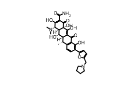 C[C@H]1c2ccc(-c3ccc(CN4CCCC4)o3)c(O)c2C(=O)C2=C(O)[C@]3(O)C(=O)C(C(N)=O)=C(O)[C@@H](N(C)C)[C@@H]3[C@@H](O)[C@@H]21